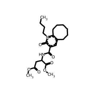 CCCCn1c2c(cc(C(=O)NC(CC(=O)OC)C(=O)OC)c1=O)CCCCCC2